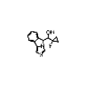 OC(C1c2ccccc2-c2cncn21)C1(F)CC1